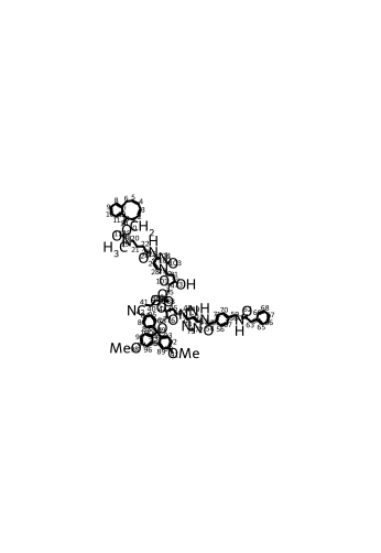 C=C1/C=C\C=C/Cc2ccccc2C1COC(=O)N(C)CCCC(=O)Nc1ccn([C@H]2CC(O)[C@@H](COP(=O)(OCCC#N)OC3C[C@H](n4cnc5c(NC(=O)c6ccc(CNC(=O)Cc7ccccc7)cc6)ncnc54)O[C@@H]3COC(c3ccccc3)(c3ccc(OC)cc3)c3ccc(OC)cc3)O2)c(=O)n1